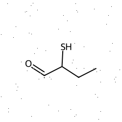 CCC(S)[C]=O